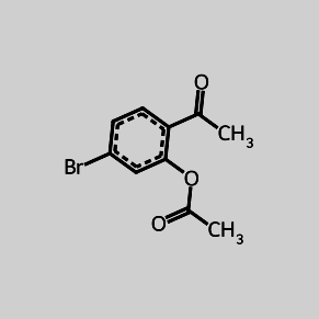 CC(=O)Oc1cc(Br)ccc1C(C)=O